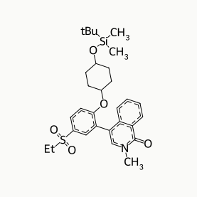 CCS(=O)(=O)c1ccc(OC2CCC(O[Si](C)(C)C(C)(C)C)CC2)c(-c2cn(C)c(=O)c3ccccc23)c1